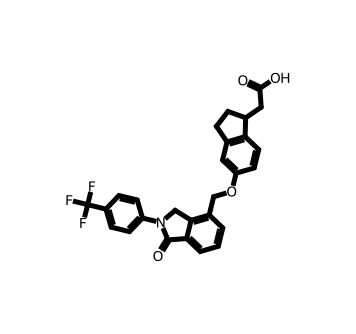 O=C(O)CC1CCc2cc(OCc3cccc4c3CN(c3ccc(C(F)(F)F)cc3)C4=O)ccc21